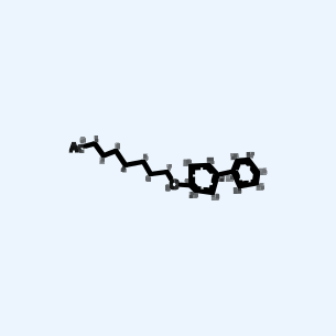 CC(=O)CCCCCCCOc1ccc(-c2ccccc2)cc1